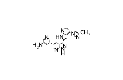 Cc1cn(-c2ccnc3[nH]c(-c4n[nH]c5ncc(-c6cncc(N)c6)cc45)cc23)cn1